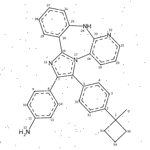 CC1(c2ccc(-c3c(-c4ccc(N)cc4)nc4n3-c3cccnc3Nc3ccccc3-4)cc2)CCC1